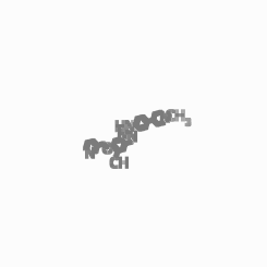 C#Cc1cc2cnc(Nc3ccc(C4CCN(C)CC4)cc3)nc2cc1OCc1cccnc1